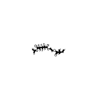 CCC(C)(C)C(=O)OCCOC(=O)C(F)(F)C(F)(F)C(F)(F)C(=O)OC(C)C